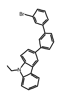 CCn1c2ccccc2c2cc(-c3cccc(-c4cccc(Br)c4)c3)ccc21